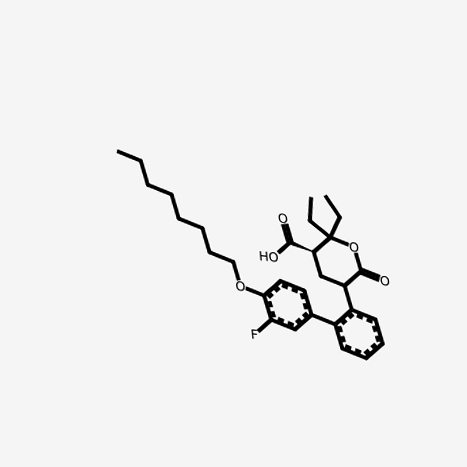 CCCCCCCCOc1ccc(-c2ccccc2C2C[C@@H](C(=O)O)C(CC)(CC)OC2=O)cc1F